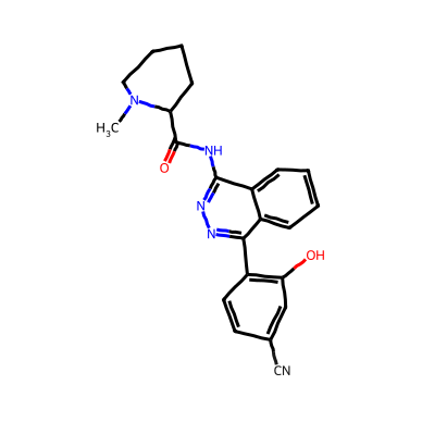 CN1CCCCC1C(=O)Nc1nnc(-c2ccc(C#N)cc2O)c2ccccc12